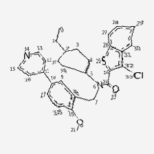 CCC1CCC(N(Cc2cc(-c3ccncc3)ccc2OC)C(=O)c2sc3ccccc3c2Cl)CC1